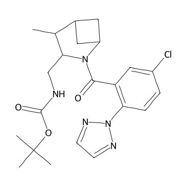 CC1C2CC(C2)N(C(=O)c2cc(Cl)ccc2-n2nccn2)C1CNC(=O)OC(C)(C)C